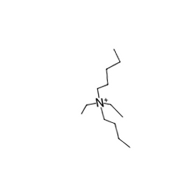 CCCCC[N+](CC)(CC)CCCC